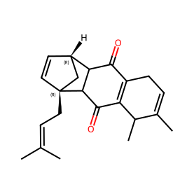 CC(C)=CC[C@@]12C=C[C@@H](C1)C1C(=O)C3=C(C(=O)C12)C(C)C(C)=CC3